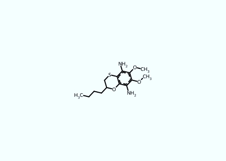 CCCCC1CSc2c(N)c(OC)c(OC)c(N)c2O1